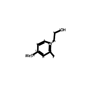 CSc1cc[n+](CCO)c(C)c1